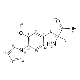 COc1cc(CC(C)(N)C(=O)O)ccc1-n1cccc1